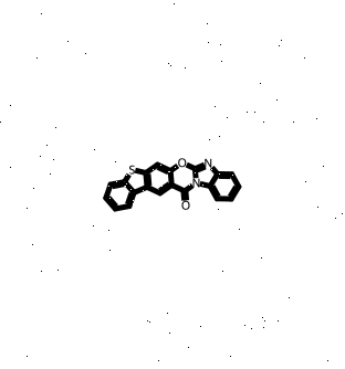 O=c1c2cc3c(cc2oc2nc4ccccc4n12)sc1ccccc13